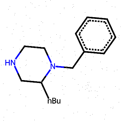 CCCCC1CNCCN1Cc1ccccc1